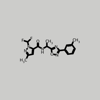 Cc1cccc(-c2noc(C(C)NC(=O)c3cc(C)nn3C(F)F)n2)c1